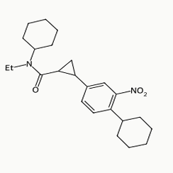 CCN(C(=O)C1CC1c1ccc(C2CCCCC2)c([N+](=O)[O-])c1)C1CCCCC1